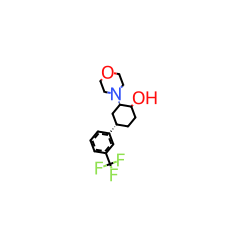 O[C@H]1CC[C@H](c2cccc(C(F)(F)F)c2)C[C@@H]1N1CCOCC1